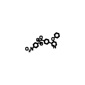 O=C(c1ccc(-c2cnccc2Oc2ccccc2)cc1)S(=O)(=O)c1ccc([N+](=O)[O-])cc1